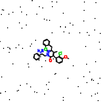 COc1cccc(-c2c(C)c(Cc3ccccc3Cl)nn(CC(N)c3ccccc3)c2=O)c1Cl